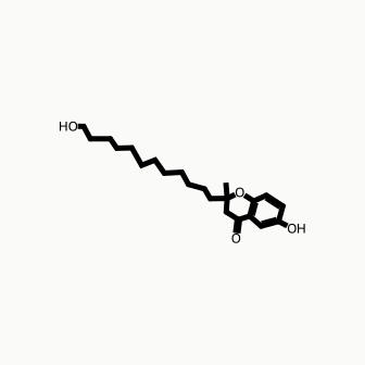 CC1(CCCCCCCCCCCCO)CC(=O)c2cc(O)ccc2O1